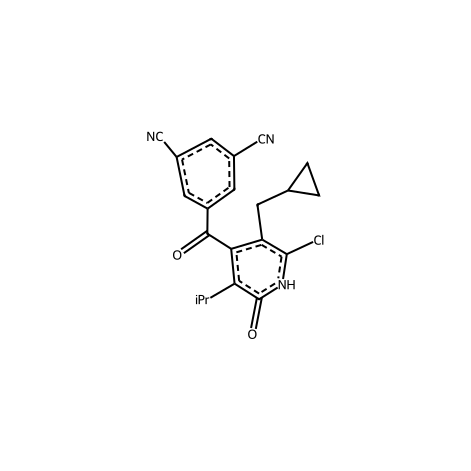 CC(C)c1c(C(=O)c2cc(C#N)cc(C#N)c2)c(CC2CC2)c(Cl)[nH]c1=O